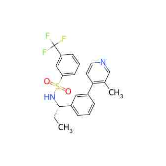 CC[C@H](NS(=O)(=O)c1cccc(C(F)(F)F)c1)c1cccc(-c2ccncc2C)c1